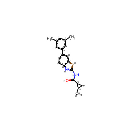 Cc1cc(C)cc(-c2ccc3nc(NC(=O)C4CC4C)sc3c2)c1